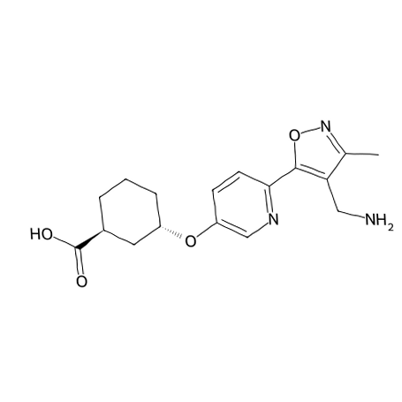 Cc1noc(-c2ccc(O[C@H]3CCC[C@H](C(=O)O)C3)cn2)c1CN